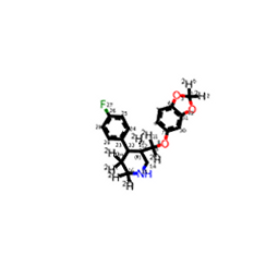 [2H]C1([2H])Oc2ccc(OC([2H])([2H])[C@@]3([2H])CNC([2H])([2H])C([2H])([2H])C3c3ccc(F)cc3)cc2O1